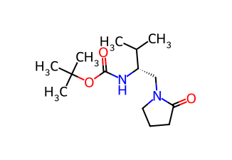 CC(C)[C@H](CN1CCCC1=O)NC(=O)OC(C)(C)C